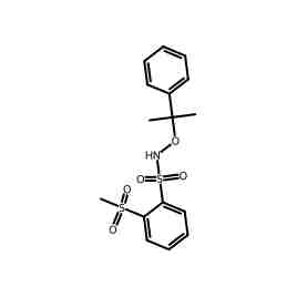 CC(C)(ONS(=O)(=O)c1ccccc1S(C)(=O)=O)c1ccccc1